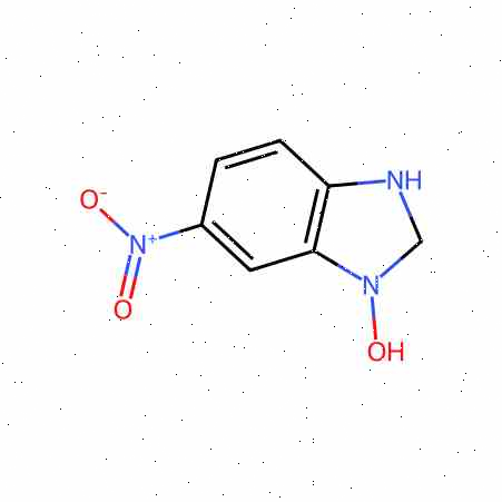 O=[N+]([O-])c1ccc2c(c1)N(O)CN2